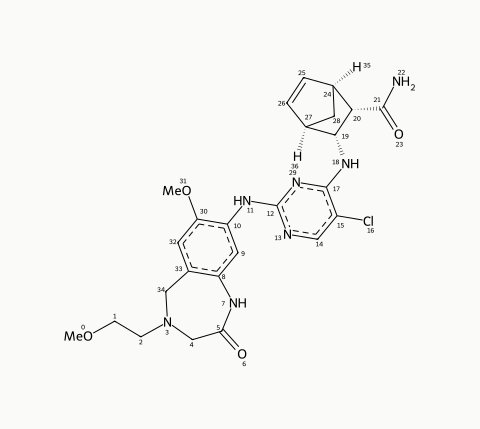 COCCN1CC(=O)Nc2cc(Nc3ncc(Cl)c(N[C@H]4[C@@H](C(N)=O)[C@@H]5C=C[C@H]4C5)n3)c(OC)cc2C1